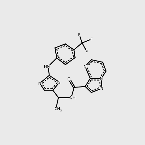 CC(NC(=O)c1cnn2cccnc12)c1cnc(Nc2ccc(C(F)(F)F)cc2)s1